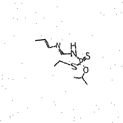 CC=CN=CNP(=S)(OC(C)C)SCC